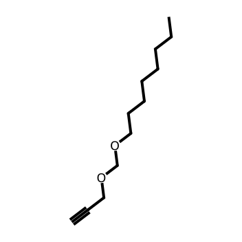 C#CCOCOCCCCCCCC